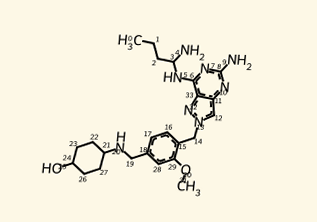 CCCC(N)Nc1nc(N)nc2cn(Cc3ccc(CNC4CCC(O)CC4)cc3OC)nc12